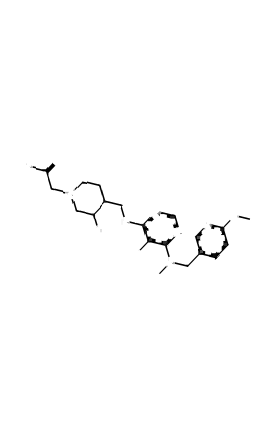 COc1ccc(CN(C)c2ncnc(NCC3CCN(CC(N)=O)CC3O)c2F)cn1